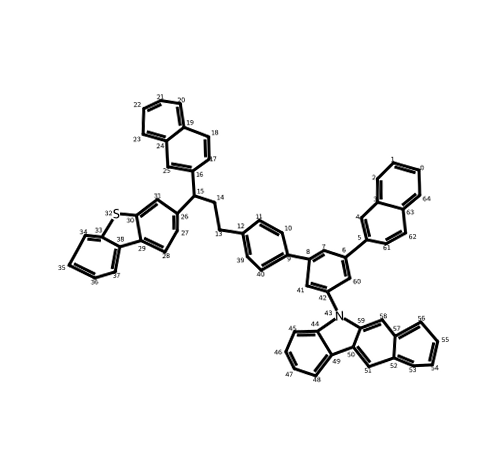 c1ccc2cc(-c3cc(-c4ccc(CCC(c5ccc6ccccc6c5)c5ccc6c(c5)sc5ccccc56)cc4)cc(-n4c5ccccc5c5cc6ccccc6cc54)c3)ccc2c1